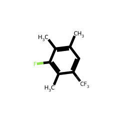 Cc1cc(C(F)(F)F)c(C)c(F)c1C